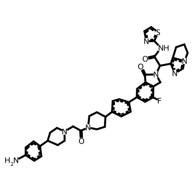 Nc1ccc(C2CCN(CC(=O)N3CCC(c4ccc(-c5cc(F)c6c(c5)C(=O)N(C(C(=O)Nc5nccs5)c5ncn7c5CCC7)C6)cc4)CC3)CC2)cc1